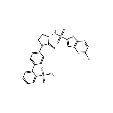 CS(=O)(=O)c1ccccc1-c1ccc(N2CC[C@H](NS(=O)(=O)c3cc4cc(Cl)cnc4s3)C2=O)nc1